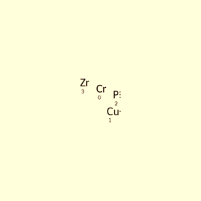 [Cr].[Cu].[P].[Zr]